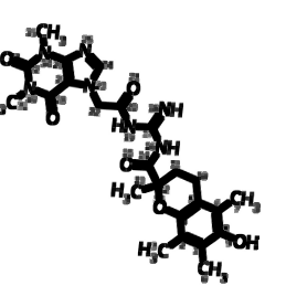 Cc1c(C)c2c(c(C)c1O)CCC(C)(C(=O)NC(=N)NC(=O)Cn1cnc3c1c(=O)n(C)c(=O)n3C)O2